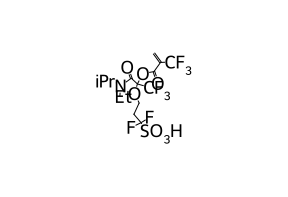 C=C(C(=O)OC(OCCC(F)(F)S(=O)(=O)O)(C(=O)N(CC)C(C)C)C(F)(F)F)C(F)(F)F